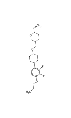 C=CC1CCC(COC2CCC(c3ccc(OCCC)c(F)c3F)CC2)CO1